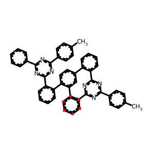 Cc1ccc(-c2nc(-c3ccccc3)nc(-c3ccccc3-c3ccc(-c4ccccc4-c4nc(-c5ccccc5)nc(-c5ccc(C)cc5)n4)c(-c4ccccn4)c3)n2)cc1